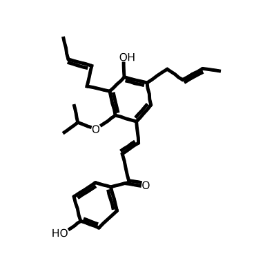 CC=CCc1cc(C=CC(=O)c2ccc(O)cc2)c(OC(C)C)c(CC=CC)c1O